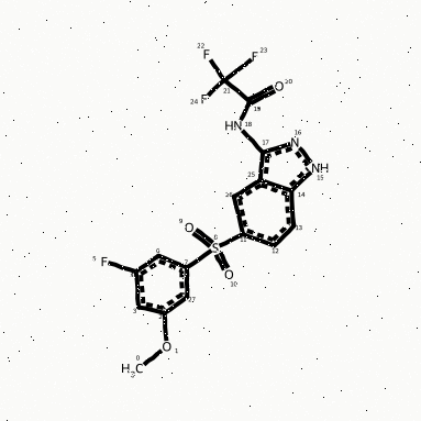 COc1cc(F)cc(S(=O)(=O)c2ccc3[nH]nc(NC(=O)C(F)(F)F)c3c2)c1